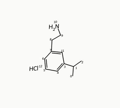 CC(C)c1cccc(CCN)c1.Cl